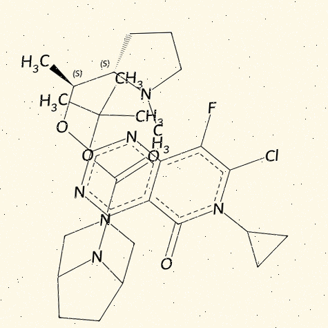 C[C@H](Oc1nc(N2C3CCC2CN(C(=O)OC(C)(C)C)C3)c2c(=O)n(C3CC3)c(Cl)c(F)c2n1)[C@@H]1CCCN1C